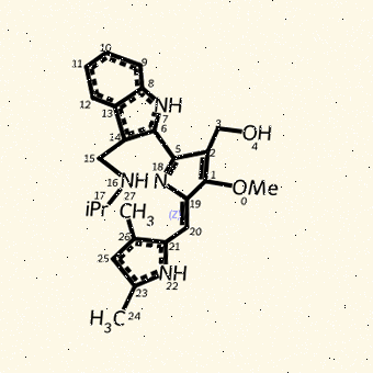 COC1=C(CO)C(c2[nH]c3ccccc3c2CNC(C)C)=N/C1=C\c1[nH]c(C)cc1C